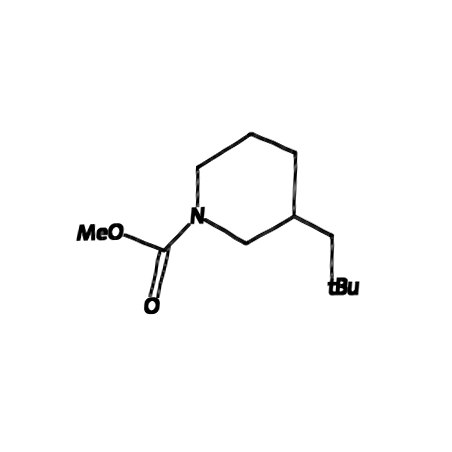 COC(=O)N1CCCC(CC(C)(C)C)C1